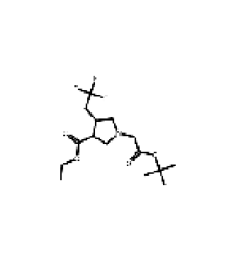 CCOC(=O)C1CN(CC(=O)OC(C)(C)C)CC1CC(F)(F)F